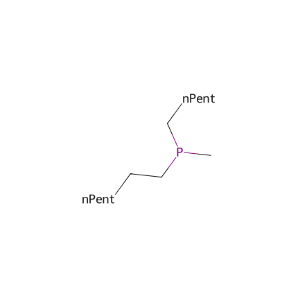 CCCCCCCP(C)CCCCCC